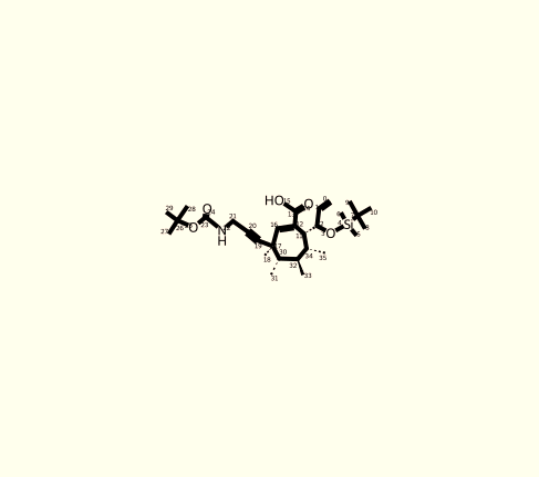 C=CC(O[Si](C)(C)C(C)(C)C)[C@H]1C(C(=O)O)=C[C@](C)(C#CCNC(=O)OC(C)(C)C)[C@@H](C)[C@H](C)[C@H]1C